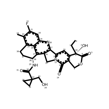 CC[C@@]1(O)C(=O)OCc2c1cc1n(c2=O)Cc2c-1nc1cc(F)c(C)c3c1c2[C@H](NC(=O)C1(CO)CC1)CC3